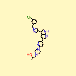 CC(O)CN1CCN(c2ccc(-c3cnc4[nH]cc(-c5cnn(Cc6cccc(Cl)c6)c5)c4c3)cn2)CC1